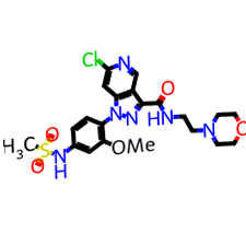 COc1cc(NS(C)(=O)=O)ccc1-n1nc(C(=O)NCCN2CCOCC2)c2cnc(Cl)cc21